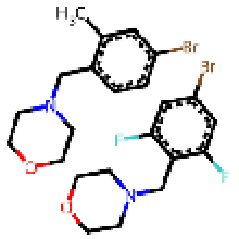 Cc1cc(Br)ccc1CN1CCOCC1.Fc1cc(Br)cc(F)c1CN1CCOCC1